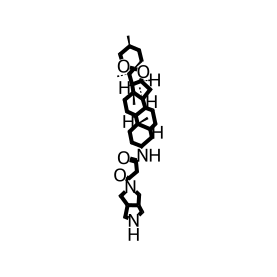 C[C@H]1CC[C@@]2(OC1)O[C@H]1C[C@@]3(C)[C@@H]4CC[C@@H]5C[C@H](NC(=O)CC(=O)N6CC7CNCC7C6)CC[C@]5(C)[C@H]4CC[C@]3(C)[C@H]1[C@@H]2C